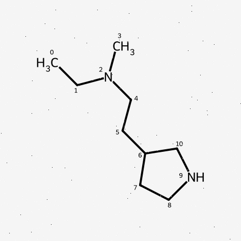 CCN(C)CCC1CCNC1